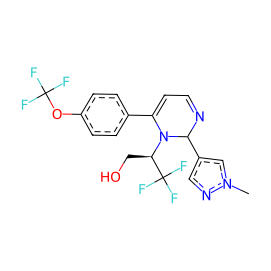 Cn1cc(C2N=CC=C(c3ccc(OC(F)(F)F)cc3)N2[C@H](CO)C(F)(F)F)cn1